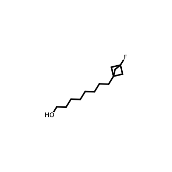 OCCCCCCCCC12CC(F)(C1)C2